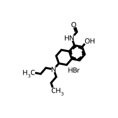 Br.CCCN(CCC)C1CCc2c(ccc(O)c2NC=O)C1